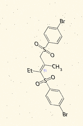 CC/C(=C(/C)CS(=O)(=O)c1ccc(Br)cc1)S(=O)(=O)c1ccc(Br)cc1